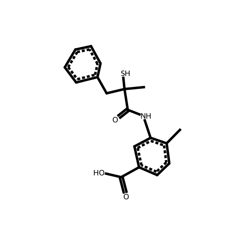 Cc1ccc(C(=O)O)cc1NC(=O)C(C)(S)Cc1ccccc1